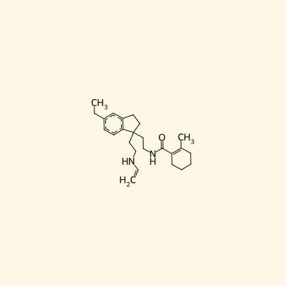 C=CNCCC1(CCNC(=O)C2=C(C)CCCC2)CCc2cc(CC)ccc21